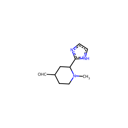 CN1CCC(C=O)CC1c1ncc[nH]1